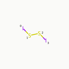 ISSI